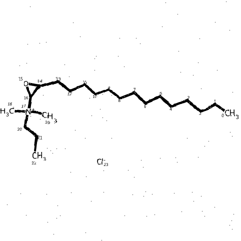 CCCCCCCCCCCCCCC1OC1[N+](C)(C)CCC.[Cl-]